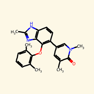 Cc1nc2c(Oc3c(C)cccc3C)c(-c3cc(C)c(=O)n(C)c3)ccc2[nH]1